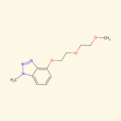 COCCOCCOc1cccc2c1nnn2C